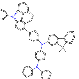 CC1(C)c2ccccc2-c2ccc(N(c3ccc(-c4ccc5c6c4ccc4cccc(c46)n5-c4ccccc4)cc3)c3ccc(N(c4ccccc4)c4ccccc4)cc3)cc21